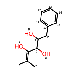 CC(C)=C(O)C(O)C(O)Cc1ccccc1